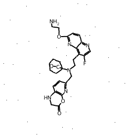 NCCOc1ccc2ncc(F)c(CCN(Cc3ccc4c(n3)OC(=O)CN4)C34CCC(CC3)OC4)c2n1